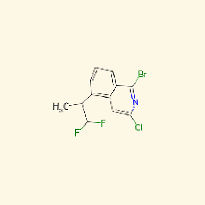 CC(c1cccc2c(Br)nc(Cl)cc12)C(F)F